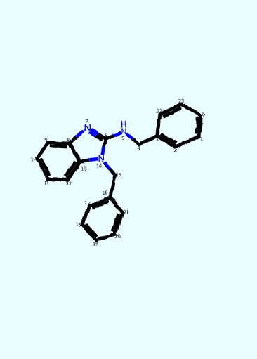 c1ccc(CNc2nc3ccccc3n2Cc2ccccc2)cc1